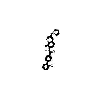 Cc1c(NC(=O)c2ccc(-c3ccccc3Cl)cc2)ccc2cc(CN3CCCC3)cnc12